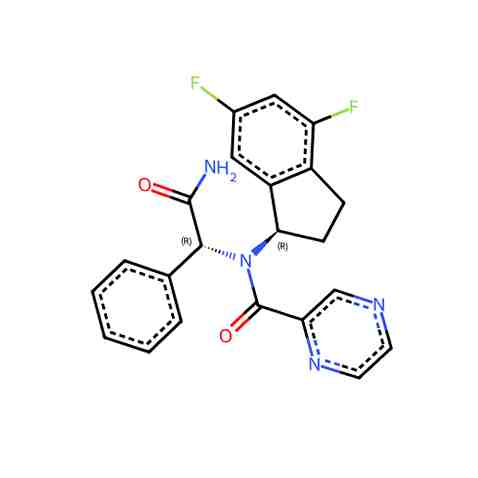 NC(=O)[C@@H](c1ccccc1)N(C(=O)c1cnccn1)[C@@H]1CCc2c(F)cc(F)cc21